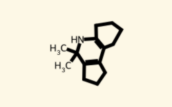 CC1(C)NC2=C(CCCC2)C2=C1CCC2